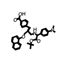 CN(C)c1ccc(C(NC/C(=C/c2ccc(C(=O)O)cc2)COc2cccc3ccccc23)C(=O)OC(C)(C)C)cc1